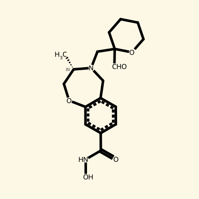 C[C@H]1COc2cc(C(=O)NO)ccc2CN1CC1(C=O)CCCCO1